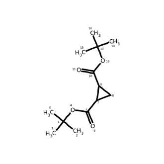 CC(C)(C)OC(=O)C1CC1C(=O)OC(C)(C)C